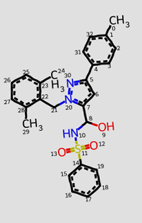 Cc1ccc(-c2cc(C(O)NS(=O)(=O)c3ccccc3)n(Cc3c(C)cccc3C)n2)cc1